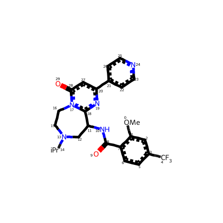 COc1cc(C(F)(F)F)ccc1C(=O)NC1CN(C(C)C)CCn2c1nc(-c1ccncc1)cc2=O